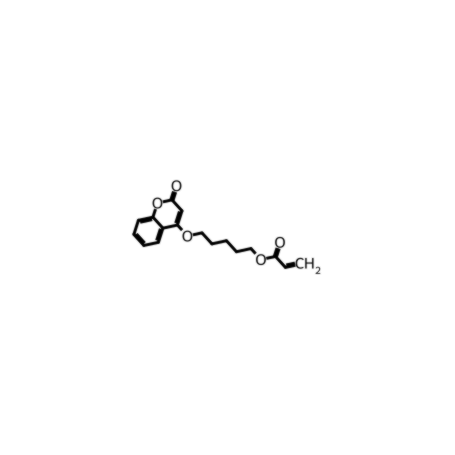 C=CC(=O)OCCCCCOc1cc(=O)oc2ccccc12